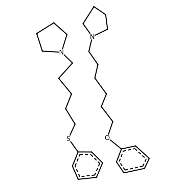 c1ccc(OCCCCCCN2CCCC2)cc1.c1ccc(SCCCCCN2CCCC2)cc1